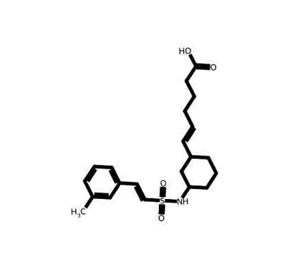 Cc1cccc(C=CS(=O)(=O)NC2CCCC(C=CCCCC(=O)O)C2)c1